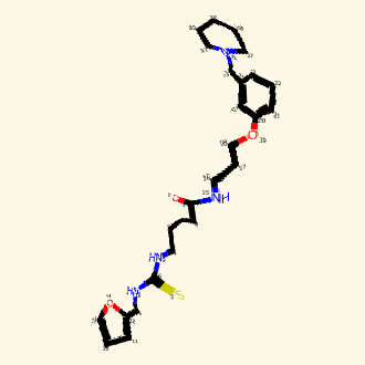 O=C(CCCNC(=S)NCc1ccco1)NCCCOc1cccc(CN2CCCCC2)c1